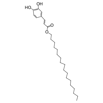 CCCCCCCCCCCCCCCCCCOC(=O)/C=C/c1ccc(O)c(O)c1